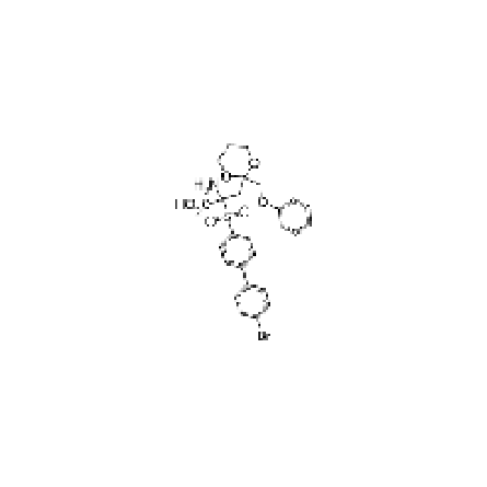 NC(CC1(COc2ccccc2)OCCCO1)(C(=O)O)S(=O)(=O)c1ccc(-c2ccc(Br)cc2)cc1